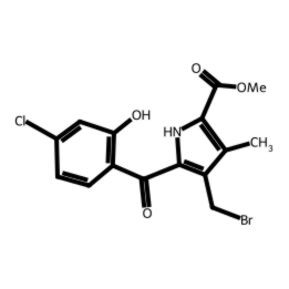 COC(=O)c1[nH]c(C(=O)c2ccc(Cl)cc2O)c(CBr)c1C